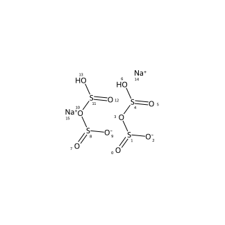 O=S([O-])OS(=O)O.O=S([O-])OS(=O)O.[Na+].[Na+]